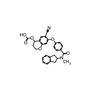 CN(C(=O)c1ccc(Oc2cc3c(cc2C#N)C(OC(=O)O)CCO3)cc1)C1Cc2ccccc2C1